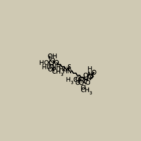 COC[C@H]1O[C@@H](n2ccc(=O)[nH]c2=O)C(CCCCCCCNC(=S)NCCCCO[C@@H]2O[C@H](CO)[C@H](O)[C@H](O)[C@H]2NC(C)=O)[C@H]1OP(=O)(O)OC